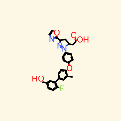 Cc1cc(-c2cc(CO)ccc2F)ccc1Oc1ccc(N2N=C(c3ncco3)CC2CC(=O)O)cc1